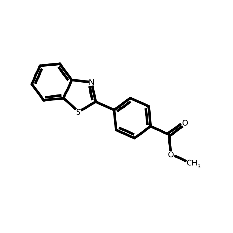 COC(=O)c1ccc(-c2nc3ccccc3s2)cc1